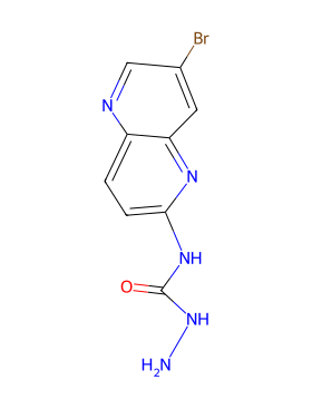 NNC(=O)Nc1ccc2ncc(Br)cc2n1